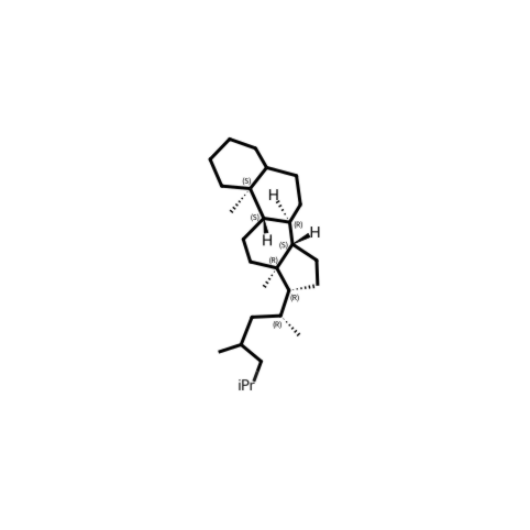 CC(C)CC(C)C[C@@H](C)[C@H]1CC[C@H]2[C@@H]3CCC4CCCC[C@]4(C)[C@H]3CC[C@]12C